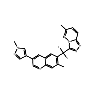 Cc1ccc2nnc(C(F)(F)c3cc4cc(-c5cnn(C)c5)cnc4cc3F)n2n1